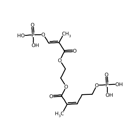 CC(=CCCOP(=O)(O)O)C(=O)OCCOC(=O)C(C)=COP(=O)(O)O